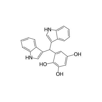 Oc1cc(O)c(O)c(C(c2c[nH]c3ccccc23)c2c[nH]c3ccccc23)c1